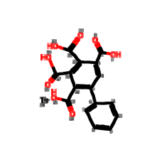 O=C(O)c1cc(-c2ccccc2)c(C(=O)O)c(C(=O)O)c1C(=O)O.[Tb]